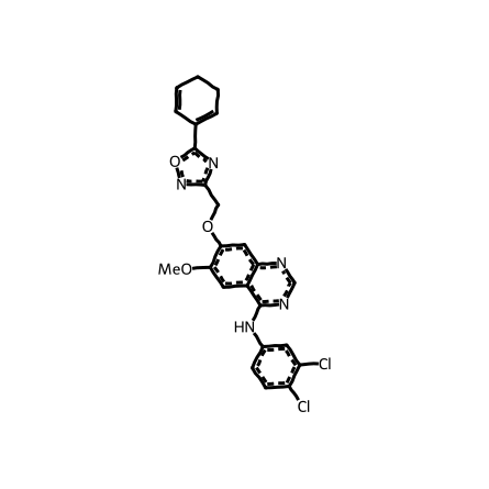 COc1cc2c(Nc3ccc(Cl)c(Cl)c3)ncnc2cc1OCc1noc(C2=CCCC=C2)n1